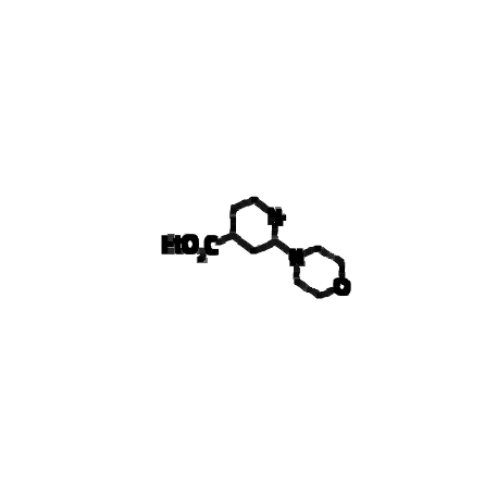 CCOC(=O)C1CC[N]C(N2CCOCC2)C1